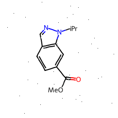 COC(=O)c1ccc2cnn(C(C)C)c2c1